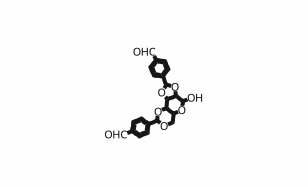 O=Cc1ccc(C2OCC3OC(O)C4OC(c5ccc(C=O)cc5)OC4C3O2)cc1